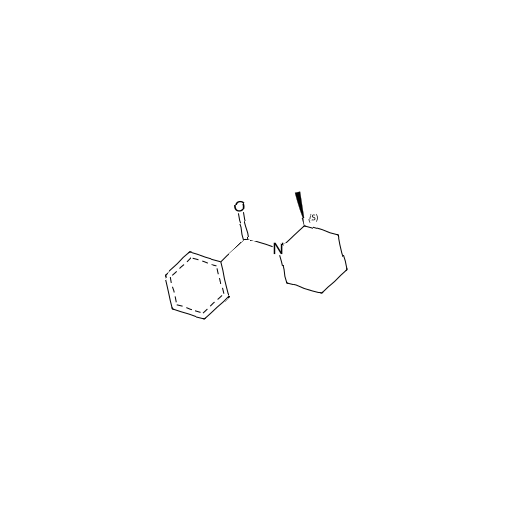 C[C@H]1CCCCN1C(=O)c1ccccc1